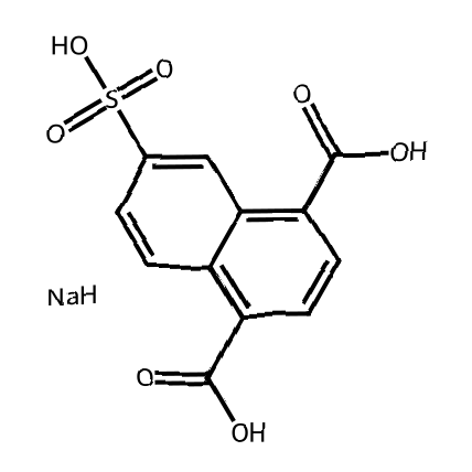 O=C(O)c1ccc(C(=O)O)c2cc(S(=O)(=O)O)ccc12.[NaH]